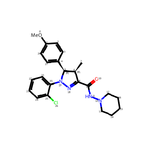 COc1ccc([C@H]2[C@@H](C)C(C(=O)NN3CCCCC3)=NN2c2ccccc2Cl)cc1